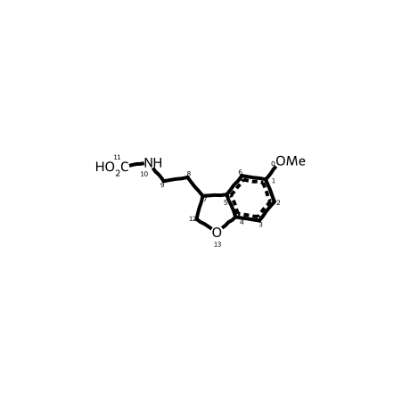 COc1ccc2c(c1)C(CCNC(=O)O)CO2